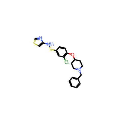 Clc1cc(SNc2cscn2)ccc1OC1CCN(Cc2ccccc2)CC1